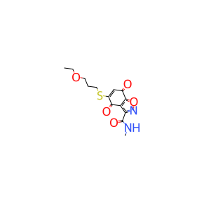 CCOCCCSC1=CC(=O)c2onc(C(=O)NC)c2C1=O